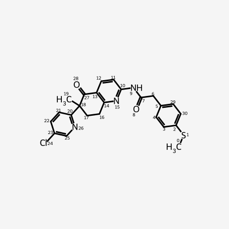 CSc1ccc(CC(=O)Nc2ccc3c(n2)CCC(C)(c2ccc(Cl)cn2)C3=O)cc1